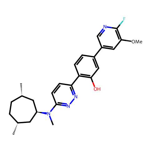 COc1cc(-c2ccc(-c3ccc(N(C)[C@H]4C[C@H](C)CC[C@H](C)C4)nn3)c(O)c2)cnc1F